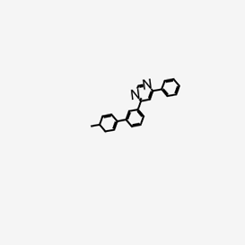 CC1C=CC(c2cccc(-c3cc(-c4ccccc4)ncn3)c2)=CC1